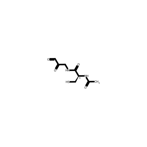 CC(=O)N[C@@H](CS)C(=O)NCC(=O)C=O